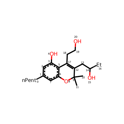 CCCCCc1cc(O)c2c(c1)OC(C)(C)C(CC(O)CC)=C2CCO